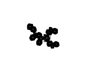 c1cnc2cc(-n3c4ccccc4c4c5c6ccccc6n(-c6nc(-c7ccc8oc9ccccc9c8c7)nc(-c7ccc8oc9ccccc9c8c7)n6)c5ccc43)ccc2c1